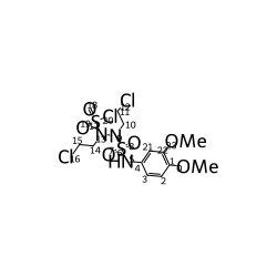 COc1ccc(NS(=O)(=O)N(CCCl)N(CCCl)S(=O)(=O)Cl)cc1OC